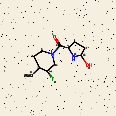 COC1CCN(C(=O)[C@@H]2CCC(O)N2)C[C@H]1F